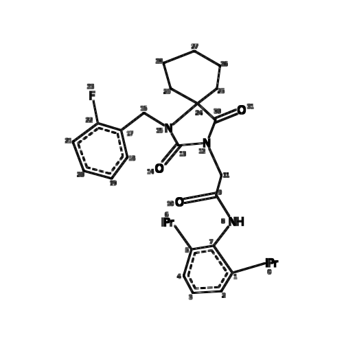 CC(C)c1cccc(C(C)C)c1NC(=O)CN1C(=O)N(Cc2ccccc2F)C2(CCCCC2)C1=O